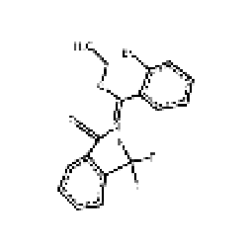 CCOC(=NC(=O)c1ccccc1C(F)(F)F)c1ccccc1Br